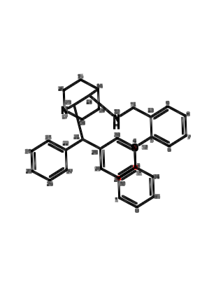 c1ccc(Oc2ccccc2CNC2C3CCN(CC3)C2C(c2ccccc2)c2ccccc2)cc1